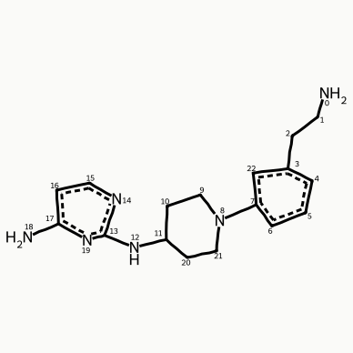 NCCc1cccc(N2CCC(Nc3nccc(N)n3)CC2)c1